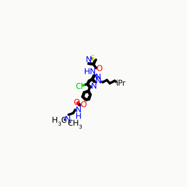 CC(C)CCCCn1nc(NC(=O)c2cnsc2)c2cc(Cl)c(-c3ccc(OC(=O)NCCCN(C)C)cc3)nc21